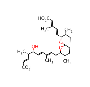 CC(/C=C/[C@H](O)[C@@H](C)/C=C/C(=O)O)=C\C[C@H]1O[C@]2(CC[C@H](C)[C@H](/C=C/C(C)=C/C(=O)O)O2)CC[C@@H]1C